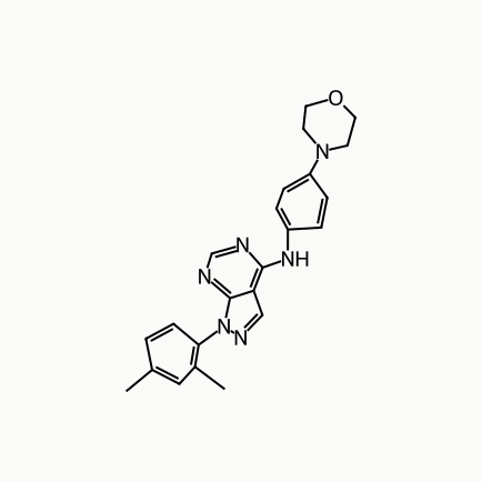 Cc1ccc(-n2ncc3c(Nc4ccc(N5CCOCC5)cc4)ncnc32)c(C)c1